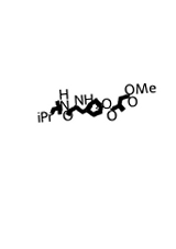 C=C(CC(=O)OC)C(=O)Oc1ccc(CC(N)C(=O)NC(C)(C)CC(C)C)cc1